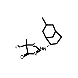 CC1CC2CC[C@H](NC3=NC(=O)C(C)(C(C)C)S3)C(C1)C2